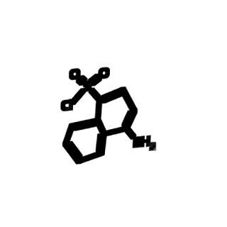 Bc1ccc(S(=O)(=O)Cl)c2ccccc12